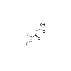 CCOC(=O)C(=O)CC(=O)O